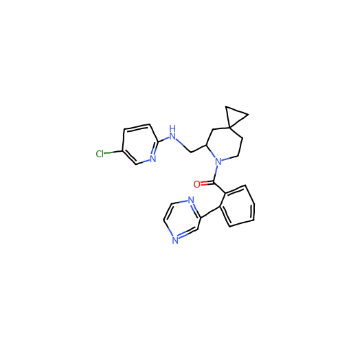 O=C(c1ccccc1-c1cnccn1)N1CCC2(CC2)CC1CNc1ccc(Cl)cn1